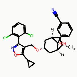 C[C@H]1C[C@@H]2C[C@@H](OCc3c(-c4c(Cl)cccc4Cl)noc3C3CC3)C[C@H]1[C@]2(O)c1cccc(C#N)c1